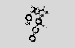 CCc1nc(C(N)=O)c(Nc2ccc(N3CCN(C4CCSCC4)CC3)c(C(F)(F)F)c2)nc1N[C@H]1CC[C@H](O)CC1